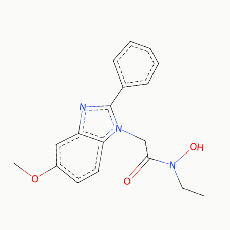 CCN(O)C(=O)Cn1c(-c2ccccc2)nc2cc(OC)ccc21